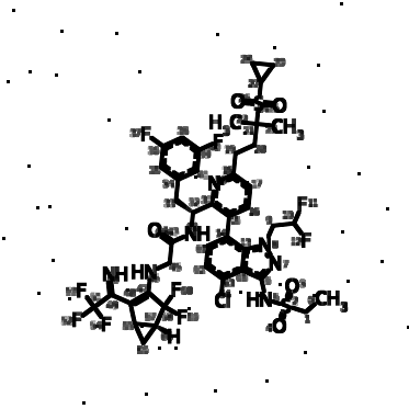 CCS(=O)(=O)Nc1nn(CC(F)F)c2c(-c3ccc(CCC(C)(C)S(=O)(=O)C4CC4)nc3[C@H](Cc3cc(F)cc(F)c3)NC(=O)CNC3=C(C(=N)C(F)(F)F)C4C[C@H]4C3(F)F)ccc(Cl)c12